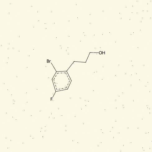 OCCCc1ccc(F)cc1Br